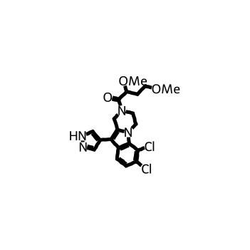 COCCC(OC)C(=O)N1CCn2c(c(-c3cn[nH]c3)c3ccc(Cl)c(Cl)c32)C1